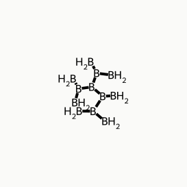 BB(B)B(B)B(B(B)B)B(B)B